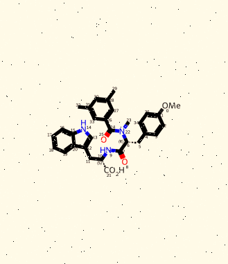 COc1ccc(C[C@H](C(=O)N[C@@H](Cc2c[nH]c3ccccc23)C(=O)O)N(C)C(=O)c2cc(C)cc(C)c2)cc1